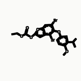 CCOC(=O)Oc1cc2c(Br)c(Oc3ccc(OC)c(C(C)C)c3)c(Br)cc2o1